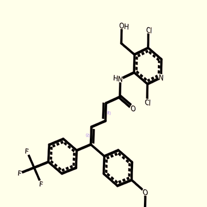 CCOc1ccc(/C(=C\C=C\C(=O)Nc2c(Cl)ncc(Cl)c2CO)c2ccc(C(F)(F)F)cc2)cc1